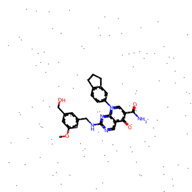 COc1cc(CO)cc(CNc2ncc3c(=O)c(C(N)=O)cn(-c4ccc5c(c4)CCC5)c3n2)c1